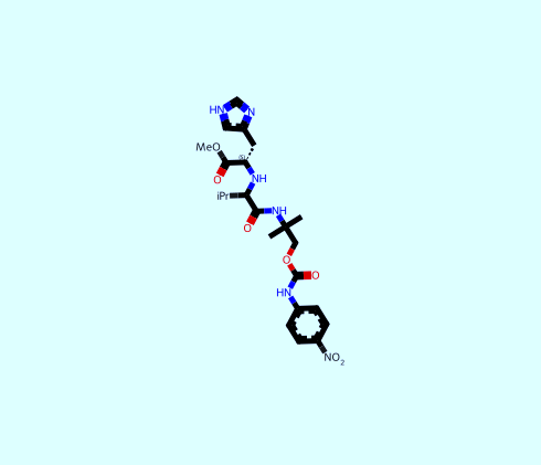 COC(=O)[C@H](Cc1c[nH]cn1)NC(C(=O)NC(C)(C)COC(=O)Nc1ccc([N+](=O)[O-])cc1)C(C)C